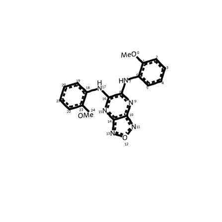 COc1ccccc1Nc1nc2nonc2nc1Nc1ccccc1OC